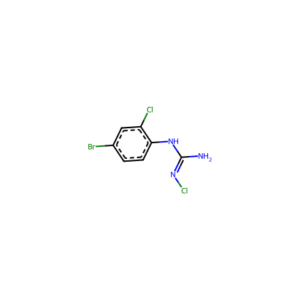 NC(=NCl)Nc1ccc(Br)cc1Cl